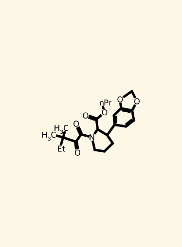 CCCOC(=O)C1C(c2ccc3c(c2)OCO3)CCCN1C(=O)C(=O)C(C)(C)CC